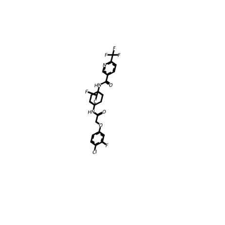 O=C(COc1ccc(Cl)c(F)c1)NC12CCC(NC(=O)c3ccc(C(F)(F)F)nc3)(CC1)C(F)C2